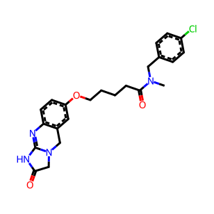 CN(Cc1ccc(Cl)cc1)C(=O)CCCCOc1ccc2c(c1)CN1CC(=O)NC1=N2